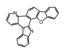 c1ccc2c(c1)nc1c3c(ccc4c5ccccc5oc43)c3ncccc3n21